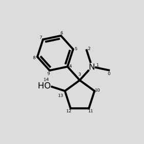 CN(C)C1(c2ccccc2)CCCC1O